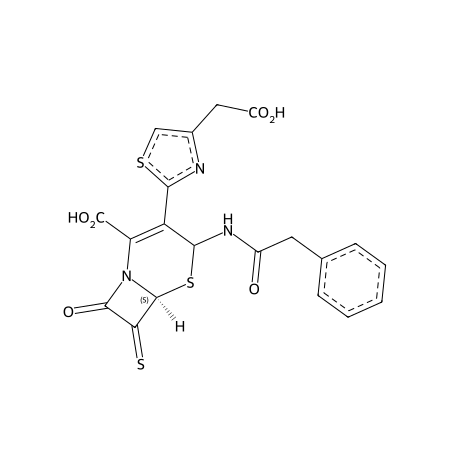 O=C(O)Cc1csc(C2=C(C(=O)O)N3C(=O)C(=S)[C@@H]3SC2NC(=O)Cc2ccccc2)n1